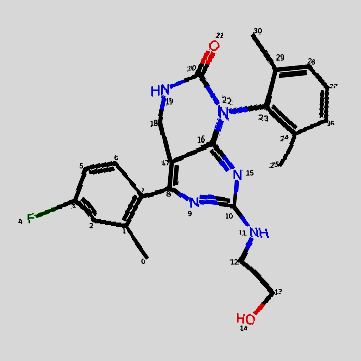 Cc1cc(F)ccc1-c1nc(NCCO)nc2c1CNC(=O)N2c1c(C)cccc1C